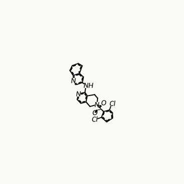 O=S(=O)(c1c(Cl)cccc1Cl)N1CCc2c(ccnc2Nc2cnc3ccccc3c2)C1